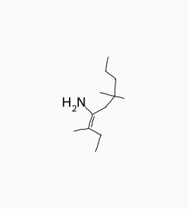 CCCC(C)(C)C/C(N)=C(/C)CC